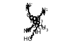 CC(CCCNCCCCO)C1CC[C@H]2C3[C@H](OCCCN=[N+]=[N-])CC4C[C@H](OCCCN=[N+]=[N-])CC[C@]4(C)[C@H]3C[C@H](OCCCN=[N+]=[N-])[C@]12C